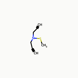 C#CCN(CC#C)SC